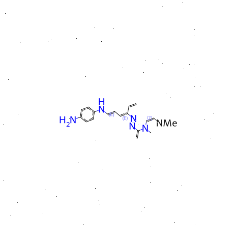 C=C/C(=C\C=C\Nc1ccc(N)cc1)N=NC(=C)N(C)/C=C\NC